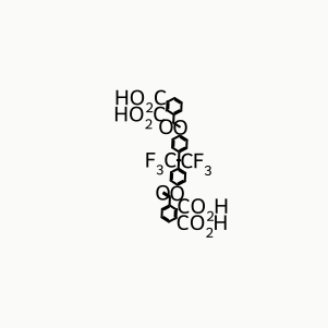 O=C(O)c1cccc(C(=O)Oc2ccc(C(c3ccc(OC(=O)c4cccc(C(=O)O)c4C(=O)O)cc3)(C(F)(F)F)C(F)(F)F)cc2)c1C(=O)O